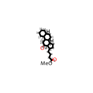 COC(=O)CCCC1CCC2[C@@H]3CC[C@@H]4CCCC[C@]4(C)C3CC(=O)[C@]12C